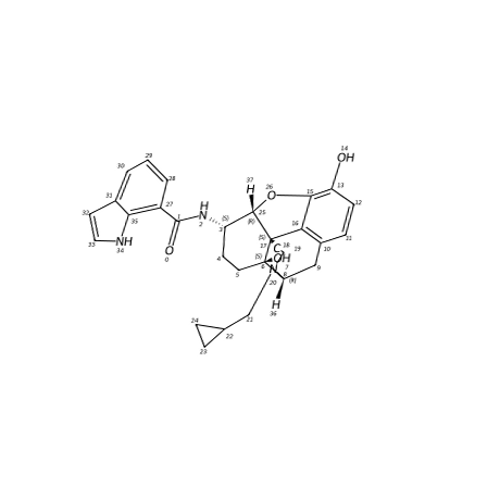 O=C(N[C@H]1CC[C@@]2(O)[C@H]3Cc4ccc(O)c5c4[C@@]2(CCN3CC2CC2)[C@H]1O5)c1cccc2cc[nH]c12